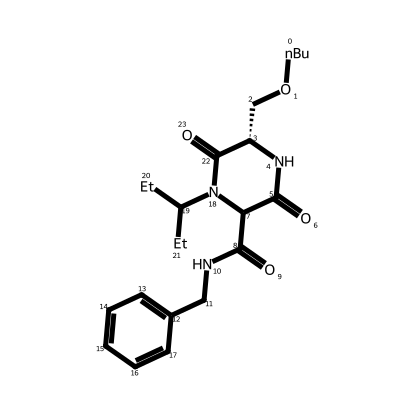 CCCCOC[C@@H]1NC(=O)C(C(=O)NCc2ccccc2)N(C(CC)CC)C1=O